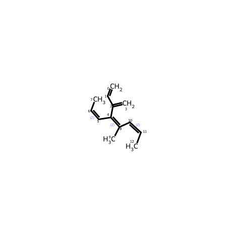 C=CC(=C)C(/C=C\C)=C(C)\C=C/C